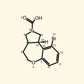 O=C(O)N1CC2CCOc3cccc(Br)c3[C@H]2C1